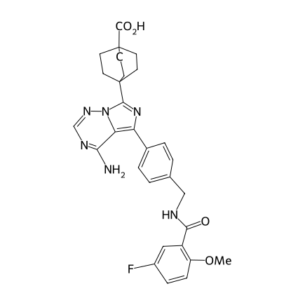 COc1ccc(F)cc1C(=O)NCc1ccc(-c2nc(C34CCC(C(=O)O)(CC3)CC4)n3ncnc(N)c23)cc1